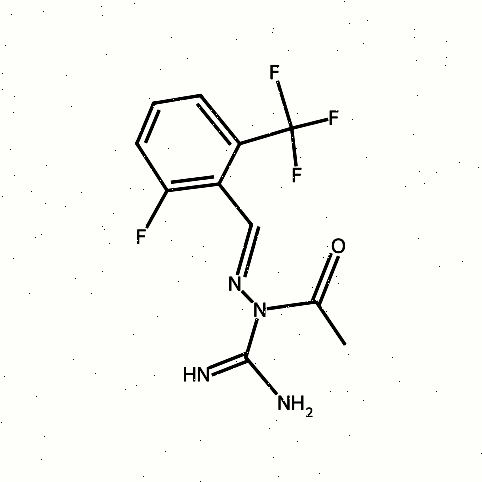 CC(=O)N(/N=C/c1c(F)cccc1C(F)(F)F)C(=N)N